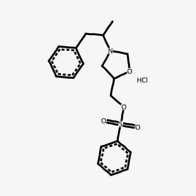 CC(Cc1ccccc1)N1COC(COS(=O)(=O)c2ccccc2)C1.Cl